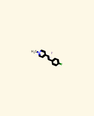 C[n+]1ccc(/C=C/c2ccc(F)cc2)cc1.[I-]